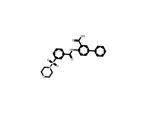 O=C(Nc1ccc(-c2ccccc2)cc1C(=O)O)c1cccc(S(=O)(=O)N2CCOCC2)c1